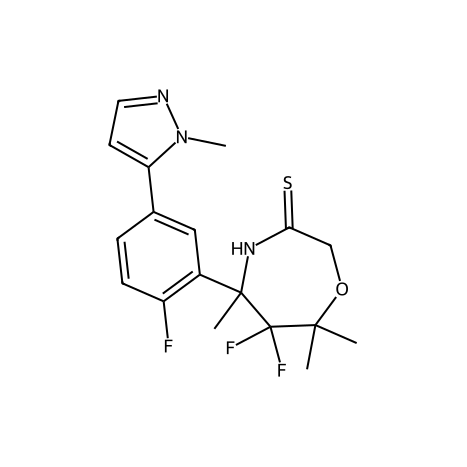 Cn1nccc1-c1ccc(F)c(C2(C)NC(=S)COC(C)(C)C2(F)F)c1